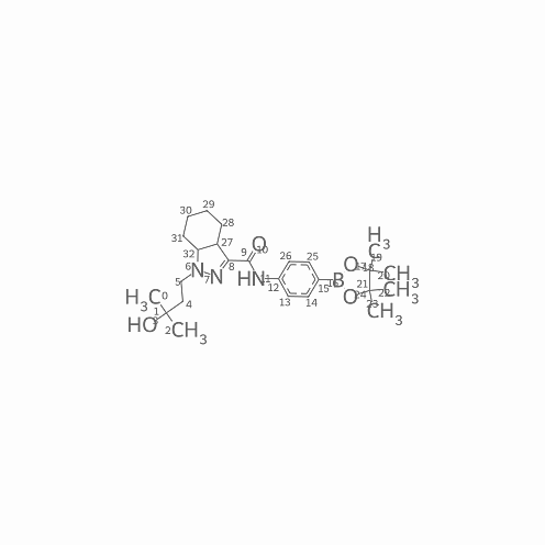 CC(C)(O)CCN1N=C(C(=O)Nc2ccc(B3OC(C)(C)C(C)(C)O3)cc2)C2CCCCC21